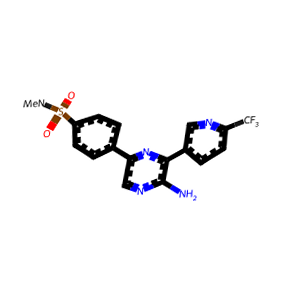 CNS(=O)(=O)c1ccc(-c2cnc(N)c(-c3ccc(C(F)(F)F)nc3)n2)cc1